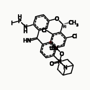 C[C@@H](Oc1ccc(NPI)c(C(=N)c2ccc(N3CC4CC(C3)N4C(=O)OC(C)(C)C)nc2)c1)c1c(Cl)cncc1Cl